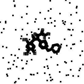 CCNC(=O)c1onc(-c2cc(Cl)c(O)cc2O)c1-c1ccc(CN2CCOCC2)cc1